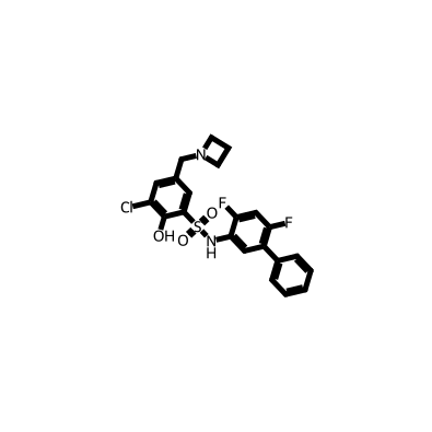 O=S(=O)(Nc1cc(-c2ccccc2)c(F)cc1F)c1cc(CN2CCC2)cc(Cl)c1O